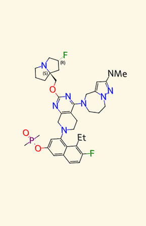 CCc1c(F)ccc2cc(OP(C)(C)=O)cc(N3CCc4c(nc(OC[C@@]56CCCN5C[C@H](F)C6)nc4N4CCCn5nc(NC)cc5C4)C3)c12